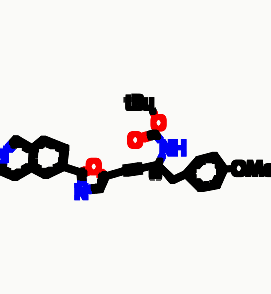 COc1ccc(C[C@@H](C#Cc2cnc(-c3ccc4cnccc4c3)o2)NC(=O)OC(C)(C)C)cc1